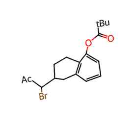 CC(=O)C(Br)C1CCc2c(cccc2OC(=O)C(C)(C)C)C1